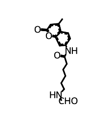 Cc1cc(=O)oc2cc(NC(=O)CCCCCNC=O)ccc12